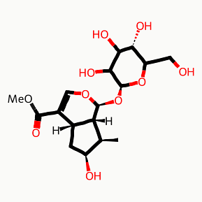 COC(=O)C1=CO[C@@H](O[C@@H]2OC(CO)[C@@H](O)C(O)C2O)[C@@H]2[C@@H](C)[C@@H](O)C[C@H]12